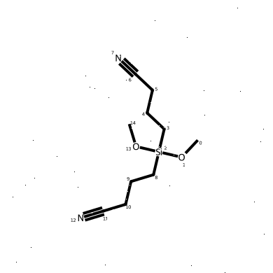 CO[Si](CCCC#N)(CCCC#N)OC